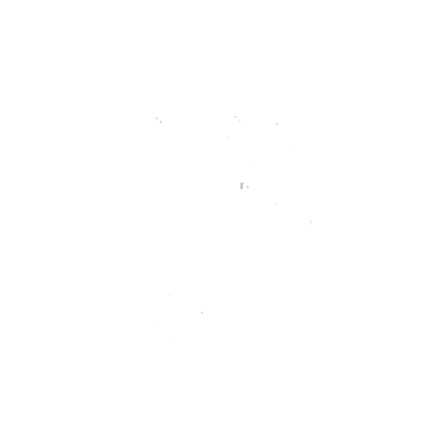 CC(=O)NC1(C(=O)NC(C)(C)C)[C@H](CCCB2OC(C)(C)C(C)(C)O2)C[C@H]2NCC[C@H]21